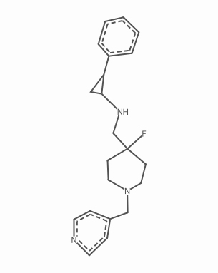 FC1(CNC2CC2c2ccccc2)CCN(Cc2ccncc2)CC1